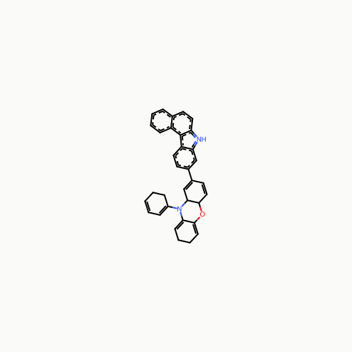 C1=CCCC(N2C3=CCCC=C3OC3C=CC(c4ccc5c(c4)[nH]c4ccc6ccccc6c45)=CC32)=C1